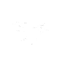 CCCCCCCCC(O)C(CCCCCCCC(=O)OC(CO)COC(=O)CCCCCCCC1OC1CC(C(O)CCCCC)N(CCO)CCO)N(CCO)CCO